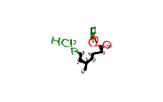 CC(CCF)CCCC(=O)OF.Cl